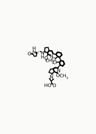 COc1nc(-c2cccc(-c3cccc(-c4cc5c(c(OC)n4)[C@H](NC[C@@H]4CCC(=O)N4)CC5)c3Cl)c2Cl)cc2c1[C@H](N1CC(C(=O)O)C1)CC2